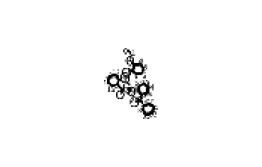 CCOc1ccccc1OOc1ccccc1C(=O)OOc1ccccc1C(=O)c1ccccc1